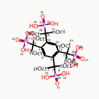 CCCCCCCCC(CCCCCCCC)(c1cc(C(CCCCCCCC)(CCCCCCCC)P(=O)(O)O)c(C(CCCCCCCC)(CCCCCCCC)P(=O)(O)O)cc1C(CCCCCCCC)(CCCCCCCC)P(=O)(O)O)P(=O)(O)O